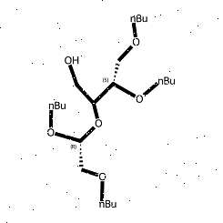 CCCCOC[C@H](OCCCC)OC(CO)[C@H](COCCCC)OCCCC